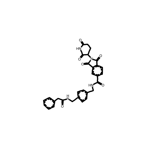 O=C(Cc1ccccc1)NCc1ccc(CNC(=O)c2ccc3c(c2)C(=O)N(C2CCC(=O)NC2=O)C3=O)cc1